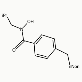 CCCCCCCCCCc1ccc(C(=O)N(O)CC(C)C)cc1